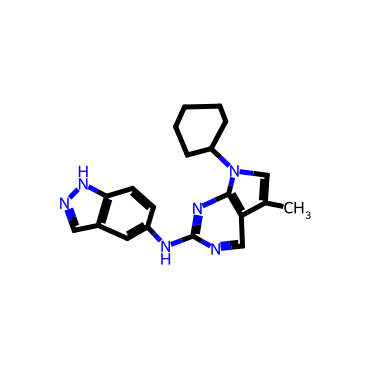 Cc1cn(C2CCCCC2)c2nc(Nc3ccc4[nH]ncc4c3)ncc12